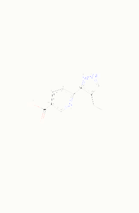 CCc1c[nH]nc1-c1ccc(C(=O)O)cn1